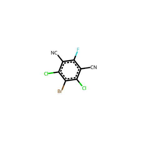 N#Cc1c(F)c(C#N)c(Cl)c(Br)c1Cl